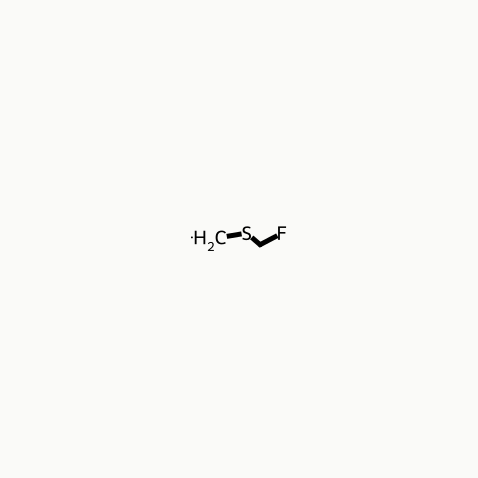 [CH2]SCF